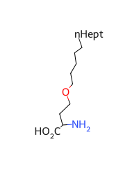 CCCCCCCCCCCCOCCC(N)C(=O)O